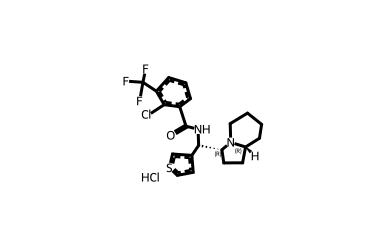 Cl.O=C(NC(c1ccsc1)[C@H]1CC[C@H]2CCCCN21)c1cccc(C(F)(F)F)c1Cl